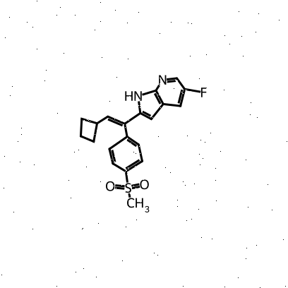 CS(=O)(=O)c1ccc(C(=CC2CCC2)c2cc3cc(F)cnc3[nH]2)cc1